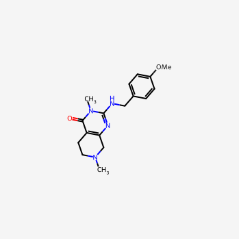 COc1ccc(CNc2nc3c(c(=O)n2C)CCN(C)C3)cc1